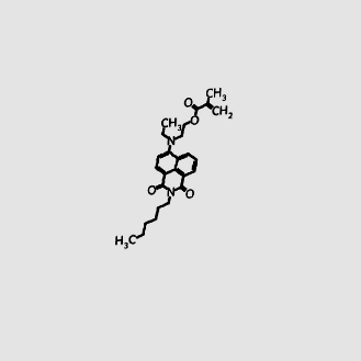 C=C(C)C(=O)OCCN(CC)c1ccc2c3c(cccc13)C(=O)N(CCCCCC)C2=O